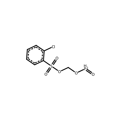 O=[PH2]OCOS(=O)(=O)c1ccccc1Cl